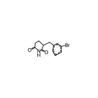 O=C1CCC(Cc2cccc(Br)c2)C(=O)N1